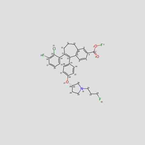 O=C(OF)c1ccc2c(c1)CCCC(c1cccc(F)c1Cl)=C2c1ccc(O[C@H]2CCN(CCCF)C2)cc1